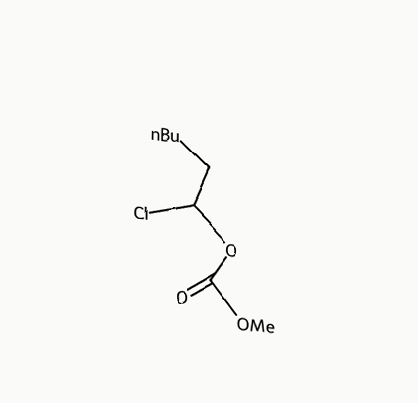 CCCCCC(Cl)OC(=O)OC